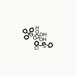 O[C@@H]1[C@@H](O)[C@H](c2ccc(Cl)c(Cc3ccc(-c4ccccc4)s3)c2)O[C@H](COC(c2ccccc2)(c2ccccc2)c2ccccc2)[C@H]1O